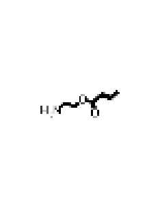 CC=CC(=O)OCCN